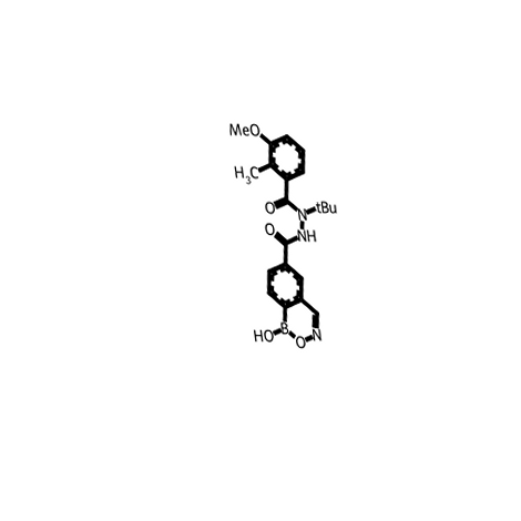 COc1cccc(C(=O)N(NC(=O)c2ccc3c(c2)C=NOB3O)C(C)(C)C)c1C